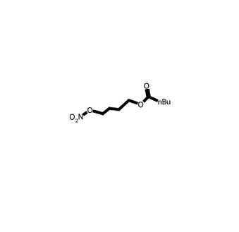 CCCCC(=O)OCCCCO[N+](=O)[O-]